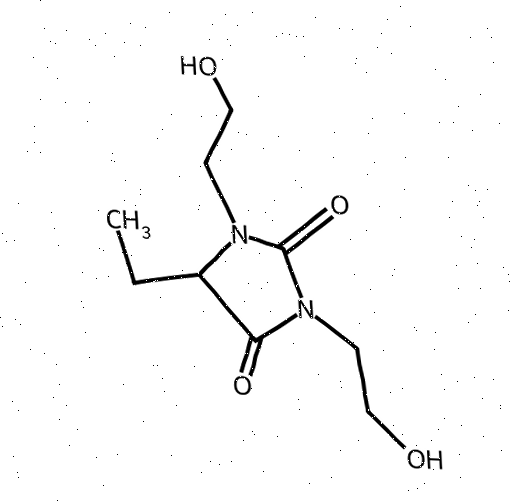 CCC1C(=O)N(CCO)C(=O)N1CCO